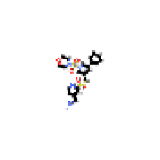 NCc1ccnc(S(=O)(=O)C[C@@H]2C[C@H](C3CCCCC3)CN(S(=O)(=O)N3CCOCC3)C2)c1